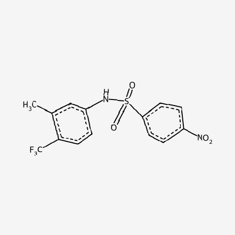 Cc1cc(NS(=O)(=O)c2ccc([N+](=O)[O-])cc2)ccc1C(F)(F)F